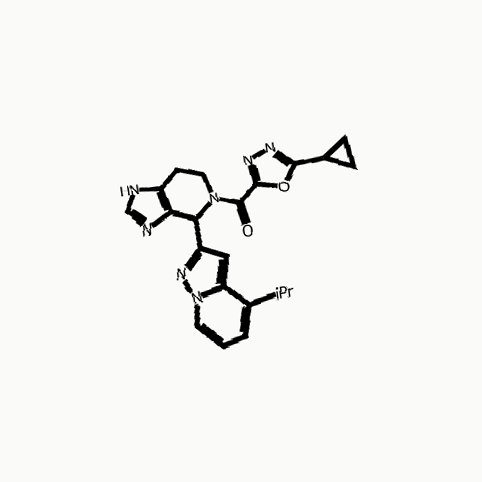 CC(C)c1cccn2nc(C3c4nc[nH]c4CCN3C(=O)c3nnc(C4CC4)o3)cc12